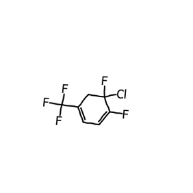 FC1=CC=C(C(F)(F)F)CC1(F)Cl